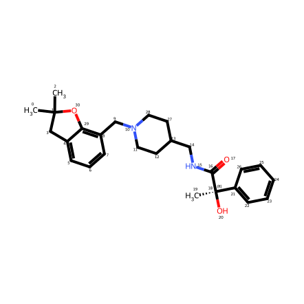 CC1(C)Cc2cccc(CN3CCC(CNC(=O)[C@](C)(O)c4ccccc4)CC3)c2O1